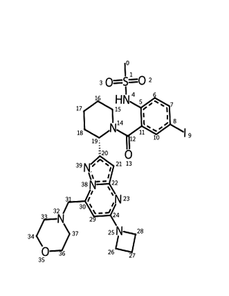 CS(=O)(=O)Nc1ccc(I)cc1C(=O)N1CCCC[C@H]1c1cc2nc(N3CCC3)cc(CN3CCOCC3)n2n1